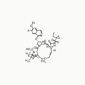 CCOc1cc2ccnc(O[C@@H]3C[C@H]4C(=O)N[C@]5(C(=O)NS(=O)(=O)C6(CF)CC6)C[C@H]5C=CCC[C@@H](C)C[C@@H](C)[C@H](N(C(=O)O)C(C)(C)C(C)(F)F)C(=O)N4C3)c2cc1F